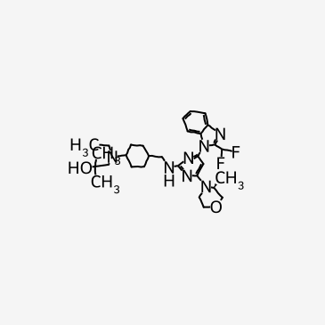 CCN(CC(C)(C)O)C1CCC(CNc2nc(N3CCOC[C@@H]3C)cc(-n3c(C(F)F)nc4ccccc43)n2)CC1